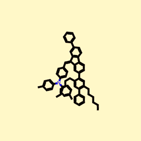 CCCCCCc1cc(-c2ccc3c(c2)/C(=C\c2ccc(N(c4ccc(C)cc4)c4ccc(C)cc4)cc2)c2cc(-c4ccccc4)ccc2-3)c(CCCCCC)cc1-c1ccccc1